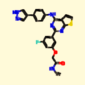 CC(C)NC(=O)COc1cc(F)cc(-c2nc(Nc3ccc(-c4cn[nH]c4)cc3)c3ccsc3n2)c1